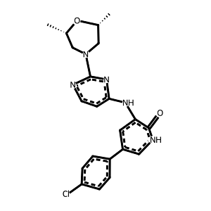 C[C@@H]1CN(c2nccc(Nc3cc(-c4ccc(Cl)cc4)c[nH]c3=O)n2)C[C@H](C)O1